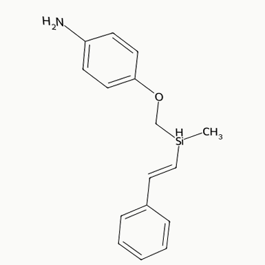 C[SiH](C=Cc1ccccc1)COc1ccc(N)cc1